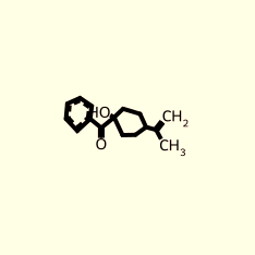 C=C(C)C1CCC(O)(C(=O)c2ccccc2)CC1